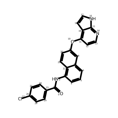 O=C(Nc1cccc2cc(Oc3ccnc4[nH]ccc34)ccc12)c1ccc(Cl)cc1